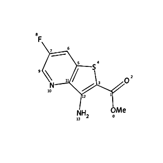 COC(=O)c1sc2cc(F)cnc2c1N